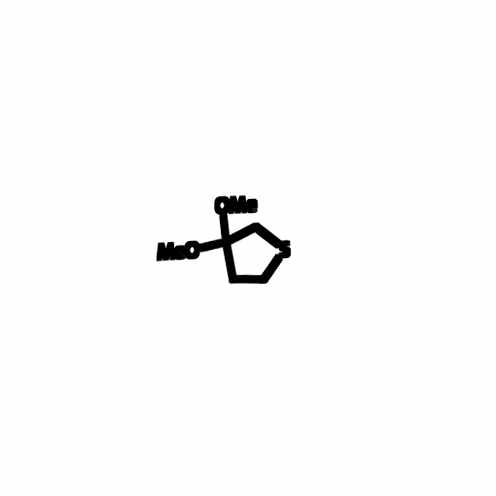 COC1(OC)CCSC1